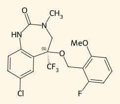 COc1cccc(F)c1CO[C@]1(C(F)(F)F)CN(C)C(=O)Nc2ccc(Cl)cc21